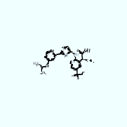 CC(C)Oc1ccnc(-c2nsc(Nc3ncc(C(F)(F)F)cc3N(C)C(=O)O)n2)c1